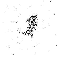 COc1cc(/N=c2\ccc3ncc(-c4cnn(C)c4)nc3n2CC2COC(=O)N2)c(F)c(OC)c1